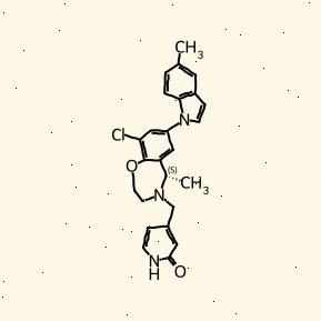 Cc1ccc2c(ccn2-c2cc(Cl)c3c(c2)[C@H](C)N(Cc2cc[nH]c(=O)c2)CCO3)c1